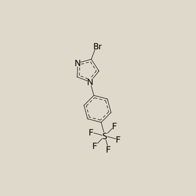 FS(F)(F)(F)(F)c1ccc(-n2cnc(Br)c2)cc1